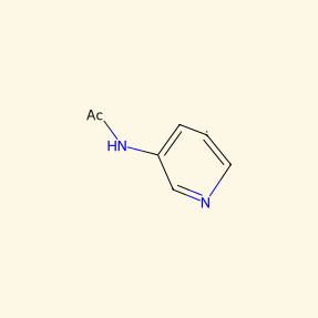 CC(=O)Nc1c[c]cnc1